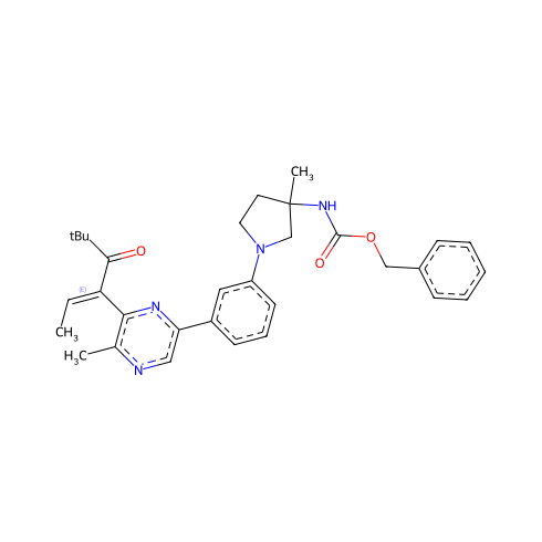 C/C=C(/C(=O)C(C)(C)C)c1nc(-c2cccc(N3CCC(C)(NC(=O)OCc4ccccc4)C3)c2)cnc1C